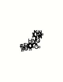 COCC(NC(=O)c1ccnc2ncnn12)c1ccc(OC(F)(F)F)cc1